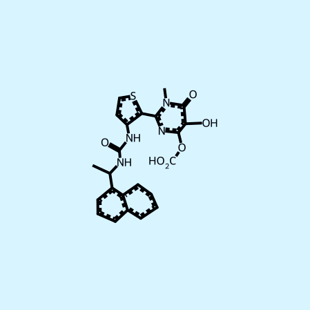 CC(NC(=O)Nc1ccsc1-c1nc(OC(=O)O)c(O)c(=O)n1C)c1cccc2ccccc12